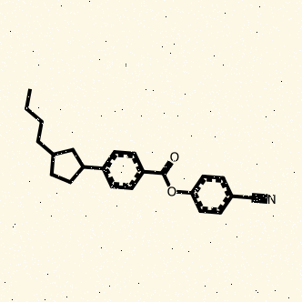 CCCCC1CCC(c2ccc(C(=O)Oc3ccc(C#N)cc3)cc2)C1